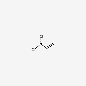 C=CN(Cl)Cl